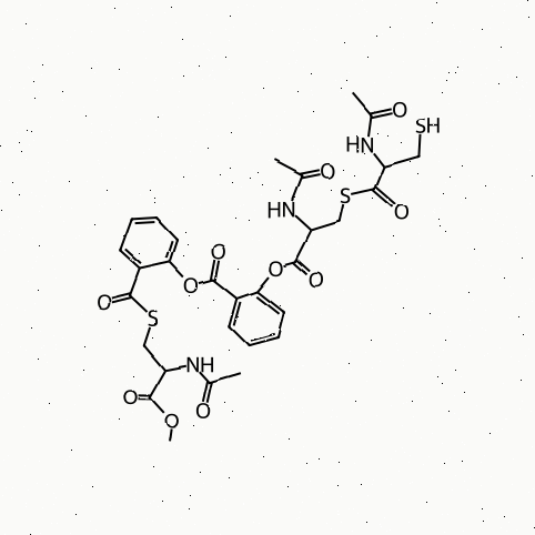 COC(=O)C(CSC(=O)c1ccccc1OC(=O)c1ccccc1OC(=O)C(CSC(=O)C(CS)NC(C)=O)NC(C)=O)NC(C)=O